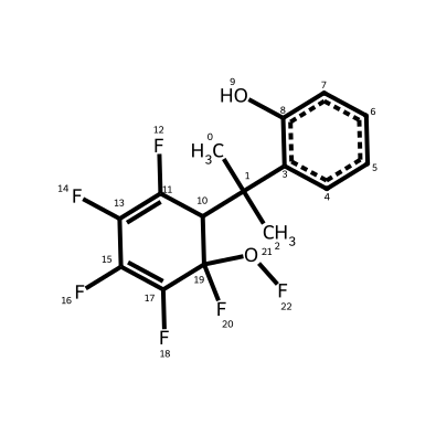 CC(C)(c1ccccc1O)C1C(F)=C(F)C(F)=C(F)C1(F)OF